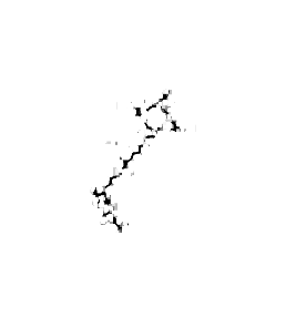 N[C@@H](CCCCNC(=O)CN1CCN(CC(=O)O)CCN(CC(=O)O)CCN(CC(=O)O)CC1)C(=O)NCCCC[C@H](NC(=O)N[C@@H](CCC(=O)O)C(=O)O)C(=O)O.[InH3]